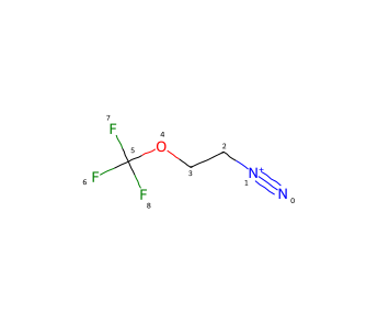 N#[N+]CCOC(F)(F)F